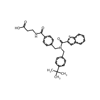 CC(C)(C)c1ccc(CN(Cc2ccc(C(=O)NCCC(=O)O)cc2)C(=O)c2cc3ccccc3s2)cc1